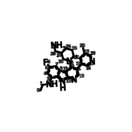 CCNc1cc(F)cc2c1[nH]c1ncc(-c3cncc(C)c3)c(N3CCCC(CN)C3)c12